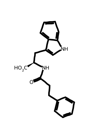 O=C(CCc1ccccc1)N[C@H](Cc1c[nH]c2ccccc12)C(=O)O